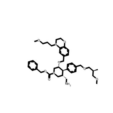 COCCCN1CCOc2ccc(CO[C@H]3CN(C(=O)OCc4ccccc4)C[C@@H](CN)[C@@H]3c3ccc(COC[C@@H](C)COC)cc3)cc21